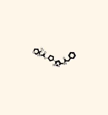 CC1(NC(=O)O[C@@H]2CC[C@H](c3cc(NC(=O)Cc4ccccc4)n[nH]3)C2)CCOC1